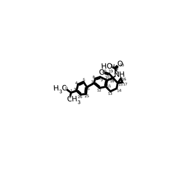 CC(C)c1ccc(-c2ccc3c(c2)CCC2(CC2)[C@]3(C=O)NC(=O)O)cc1